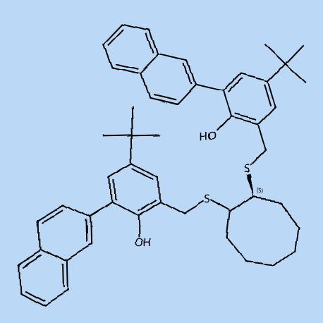 CC(C)(C)c1cc(CSC2CCCCCC[C@@H]2SCc2cc(C(C)(C)C)cc(-c3ccc4ccccc4c3)c2O)c(O)c(-c2ccc3ccccc3c2)c1